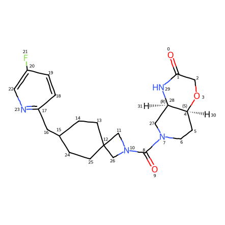 O=C1CO[C@H]2CCN(C(=O)N3CC4(CCC(Cc5ccc(F)cn5)CC4)C3)C[C@H]2N1